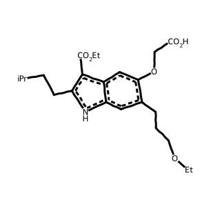 CCOCCCc1cc2[nH]c(CCC(C)C)c(C(=O)OCC)c2cc1OCC(=O)O